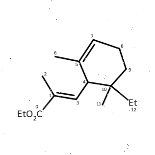 CCOC(=O)/C(C)=C/C1C(C)=CCCC1(C)CC